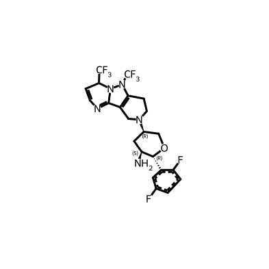 N[C@H]1C[C@@H](N2CCC3=C(C2)C2=NC=CC(C(F)(F)F)N2N3C(F)(F)F)CO[C@@H]1c1cc(F)ccc1F